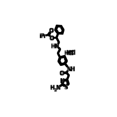 CC(C)C(=O)OC(CNCCc1ccc(NC(=O)Cc2csc(N)n2)cc1)c1ccccc1.Cl.Cl